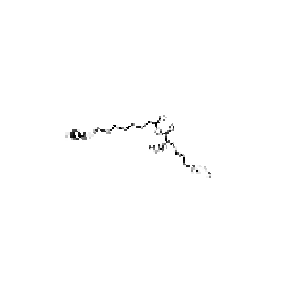 CCCCCCCCCCCCCCCCCC(=O)OC(=O)[C@@H](N)CCCCN